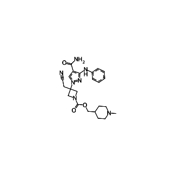 CN1CCC(COC(=O)N2CC(CC#N)(n3cc(C(N)=O)c(Nc4ccccc4)n3)C2)CC1